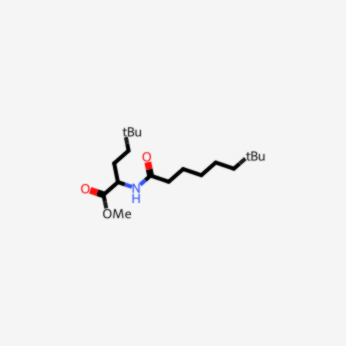 COC(=O)C(CCC(C)(C)C)NC(=O)CCCCCC(C)(C)C